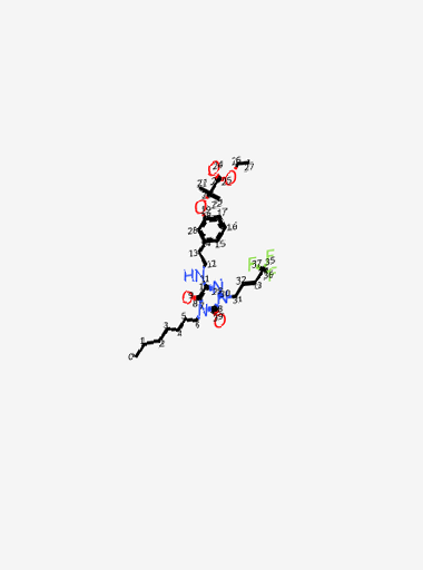 CCCCCCCn1c(=O)c(NCCc2cccc(OC(C)(C)C(=O)OCC)c2)nn(CCCC(F)(F)F)c1=O